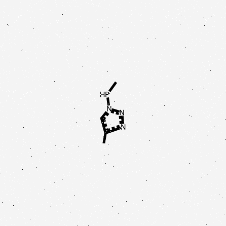 CPn1cc(C)nn1